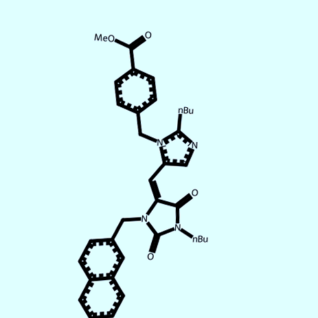 CCCCc1ncc(C=C2C(=O)N(CCCC)C(=O)N2Cc2ccc3ccccc3c2)n1Cc1ccc(C(=O)OC)cc1